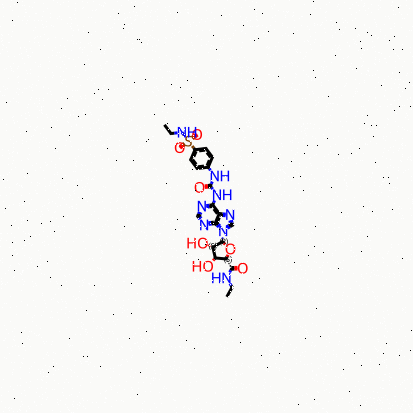 CCNC(=O)[C@H]1O[C@@H](n2cnc3c(NC(=O)Nc4ccc(S(=O)(=O)NCC)cc4)ncnc32)[C@@H](O)C1O